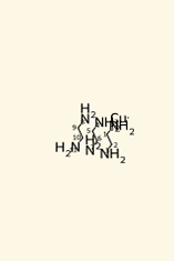 NCCN.NCCN.NCCN.[Cu]